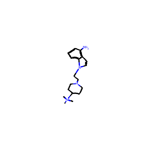 C[N+](C)(C)C1CCN(CCn2ccc3c(N)cccc32)CC1